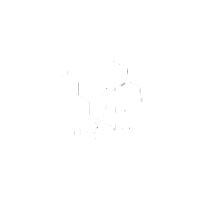 CC(C)CS(CC(C)C)=P(O)(O)O.CCCCCCCCCCCCCC[PH](CCCCCC)(CCCCCC)CCCCCC